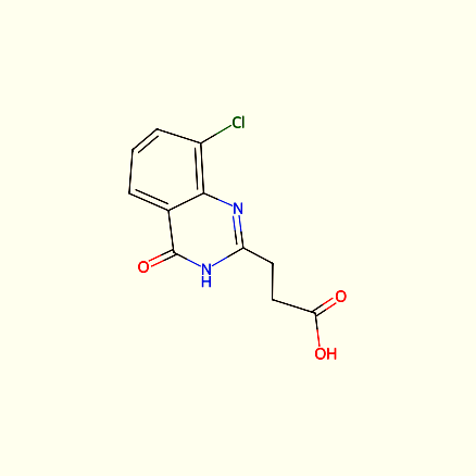 O=C(O)CCc1nc2c(Cl)cccc2c(=O)[nH]1